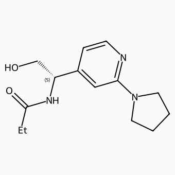 CCC(=O)N[C@H](CO)c1ccnc(N2CCCC2)c1